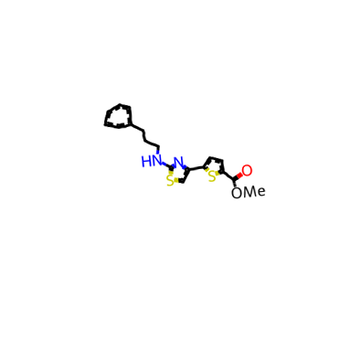 COC(=O)c1ccc(-c2csc(NCCCc3ccccc3)n2)s1